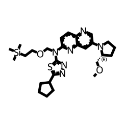 COC[C@H]1CCCN1c1cnc2ccc(N(COCC[Si](C)(C)C)c3nnc(C4CCCC4)s3)nc2c1